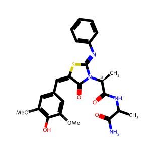 COc1cc(C=C2SC(=Nc3ccccc3)N([C@@H](C)C(=O)NC(C)C(N)=O)C2=O)cc(OC)c1O